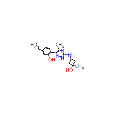 C=Cc1ccc(-c2nnc(NC3CC(C)(O)C3)nc2C)c(O)c1